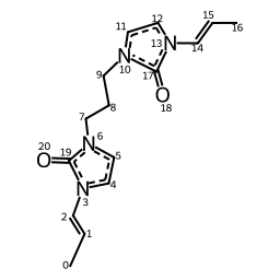 C/C=C/n1ccn(CCCn2ccn(/C=C/C)c2=O)c1=O